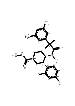 CCN(C(=O)C(C)(C)c1cc(C(F)(F)F)cc(C(F)(F)F)c1)[C@@H]1CCN(C(=O)OC(C)(C)C)C[C@H]1c1ccc(F)cc1C